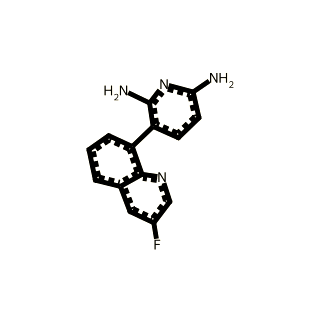 Nc1ccc(-c2cccc3cc(F)cnc23)c(N)n1